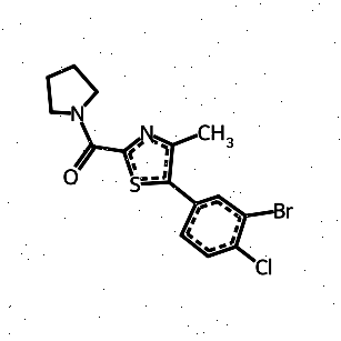 Cc1nc(C(=O)N2CCCC2)sc1-c1ccc(Cl)c(Br)c1